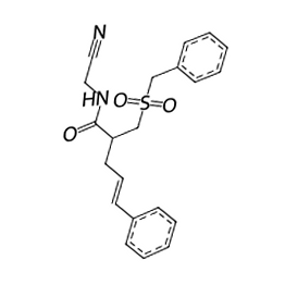 N#CCNC(=O)C(CC=Cc1ccccc1)CS(=O)(=O)Cc1ccccc1